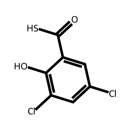 O=C(S)c1cc(Cl)cc(Cl)c1O